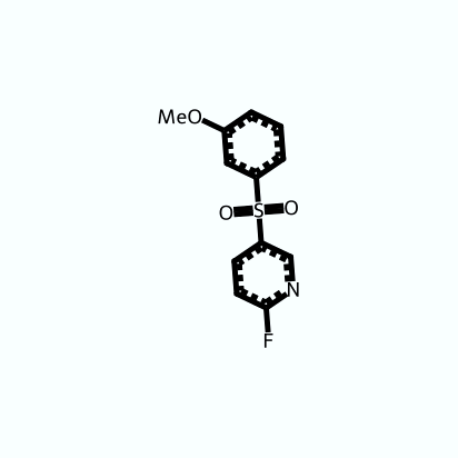 COc1cccc(S(=O)(=O)c2ccc(F)nc2)c1